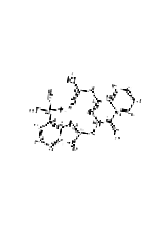 O=C(O)Cc1nn(Cc2nc3c(C(F)(F)F)cccc3s2)c(=O)c2ccccc12